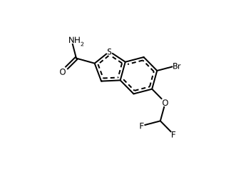 NC(=O)c1cc2cc(OC(F)F)c(Br)cc2s1